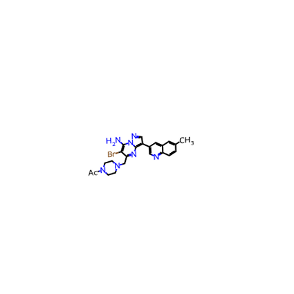 CC(=O)N1CCN(Cc2nc3c(-c4cnc5ccc(C)cc5c4)cnn3c(N)c2Br)CC1